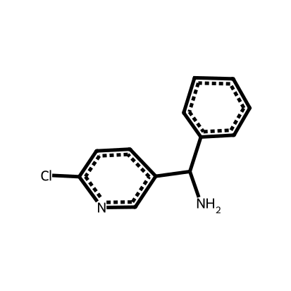 NC(c1ccccc1)c1ccc(Cl)nc1